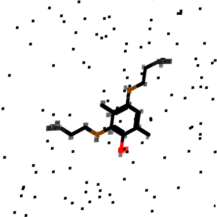 CCCCCCCCCCCCSc1cc(C)c(O)c(SCCCCCCCCCCCC)c1C